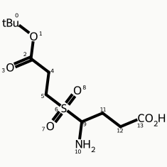 CC(C)(C)OC(=O)CCS(=O)(=O)C(N)CCC(=O)O